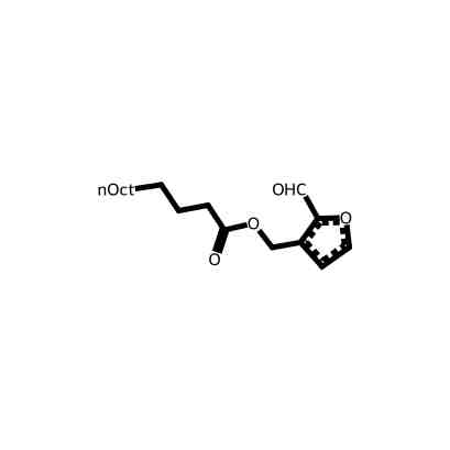 CCCCCCCCCCCC(=O)OCc1ccoc1C=O